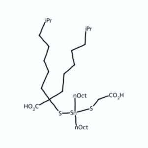 CCCCCCC[CH2][Sn]([CH2]CCCCCCC)([S]CC(=O)O)[S]C(CCCCCC(C)C)(CCCCCC(C)C)C(=O)O